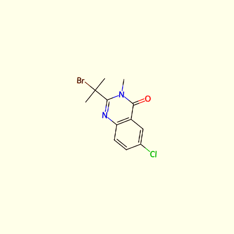 Cn1c(C(C)(C)Br)nc2ccc(Cl)cc2c1=O